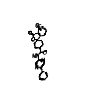 O=C1OC2(CCC(C(=O)Nc3cnc(-c4ccccc4)cn3)CC2)c2ccc[n+]([O-])c21